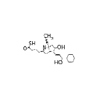 CC#CC12CC(O)C(/C=C/C(O)C3CCCCC3)C1CC(CCCC(=O)S)=N2